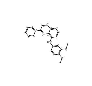 COc1ccc(Nc2ncnc3ncc(-c4ccccc4)nc23)cc1OC